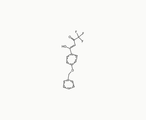 O=C(C=C(O)c1ccc(OCc2ccccc2)cc1)C(F)(F)F